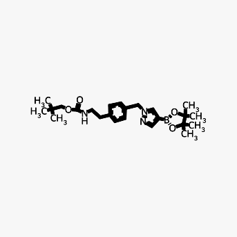 CC(C)(C)COC(=O)NCCc1ccc(Cn2cc(B3OC(C)(C)C(C)(C)O3)cn2)cc1